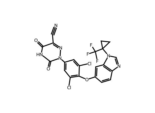 N#Cc1nn(-c2cc(Cl)c(Oc3ccc4ncn(C5(C(F)(F)F)CC5)c4c3)c(Cl)c2)c(=O)[nH]c1=O